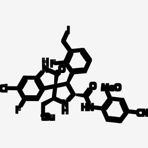 COc1cc(C#N)ccc1NC(=O)[C@@H]1N[C@@H](CC(C)(C)C)[C@@]2(C(=O)Nc3cc(Cl)c(F)cc32)[C@H]1c1cccc(CI)c1F